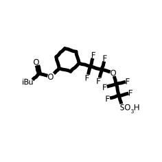 CCC(C)C(=O)OC1CCCC(C(F)(F)C(F)(F)OC(F)(F)C(F)(F)S(=O)(=O)O)C1